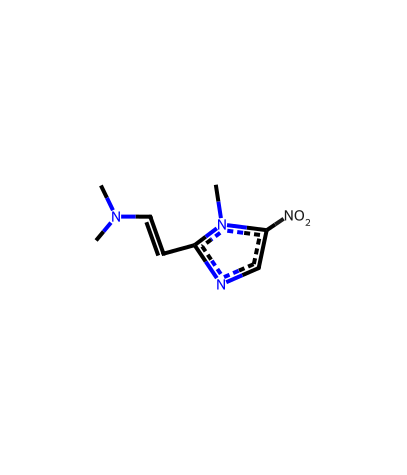 CN(C)C=Cc1ncc([N+](=O)[O-])n1C